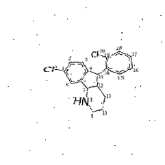 Clc1ccc2c(c1)C1NCCCC1C2c1ccccc1Cl